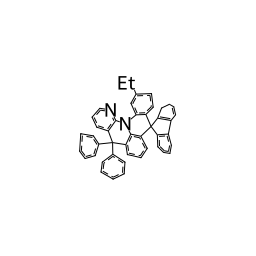 CCc1ccc2c(c1)N1c3ncccc3C(c3ccccc3)(c3ccccc3)c3cccc(c31)C21C2=C(C=CCC2)c2ccccc21